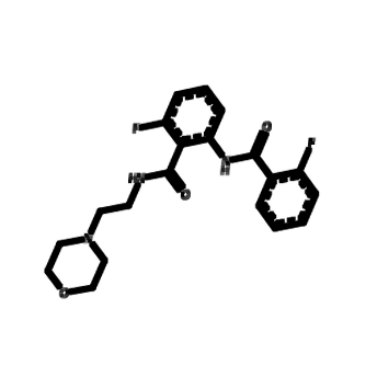 O=C(Nc1cccc(F)c1C(=O)NCCN1CCOCC1)c1ccccc1F